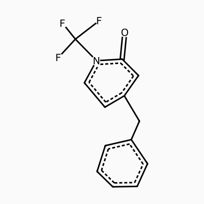 O=c1cc(Cc2ccccc2)ccn1C(F)(F)F